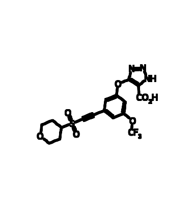 O=C(O)c1[nH]nnc1Oc1cc(C#CS(=O)(=O)C2CCOCC2)cc(OC(F)(F)F)c1